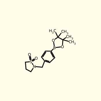 CC1(C)OB(c2ccc(CN3CCCS3(=O)=O)cc2)OC1(C)C